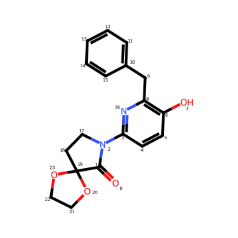 O=C1N(c2ccc(O)c(Cc3ccccc3)n2)CCC12OCCO2